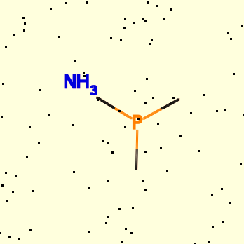 CP(C)C.N